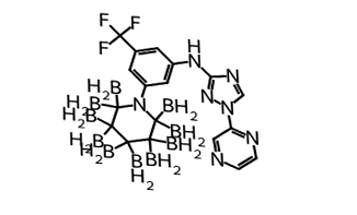 BC1(B)N(c2cc(Nc3ncn(-c4cnccn4)n3)cc(C(F)(F)F)c2)C(B)(B)C(B)(B)C(B)(B)C1(B)B